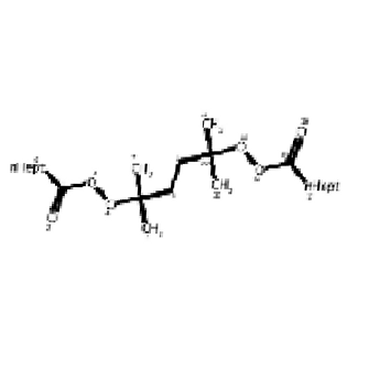 CCCCCCCC(=O)OOC(C)(C)CCC(C)(C)OOC(=O)CCCCCCC